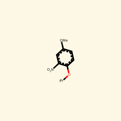 COc1ccc(OC(C)C)c([N+](=O)[O-])c1